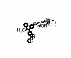 CC/C(=C(/c1ccc(OCCN(C/C=C/S(=O)(=O)N(C)C)C(=O)O)cc1)c1ccc2c(cnn2C2CCCCO2)c1)c1ccccc1